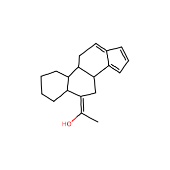 CC(O)=C1CC2C3=CC=CC3=CCC2C2CCCCC12